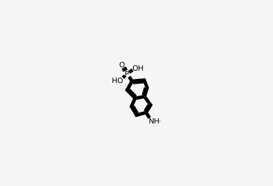 [NH]c1ccc2cc(P(=O)(O)O)ccc2c1